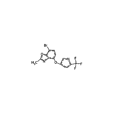 Cc1nc2c(Oc3ccc(C(F)(F)F)nc3)ccc(Br)c2o1